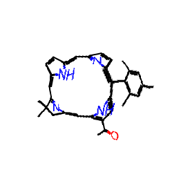 CC(=O)c1cc2[nH]c1cc1nc(cc3ccc(cc4nc(c2-c2c(C)cc(C)cc2C)C=C4)[nH]3)C(C)(C)C1